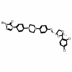 CCC(C)n1ncn(-c2ccc(N3CCN(c4ccc(OC[C@@H]5CO[C@@](C)(c6ccc(Cl)cc6Cl)O5)cc4)CC3)cc2)c1=O